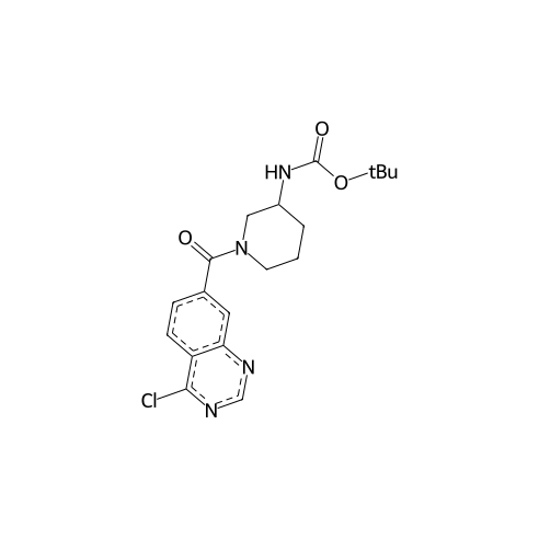 CC(C)(C)OC(=O)NC1CCCN(C(=O)c2ccc3c(Cl)ncnc3c2)C1